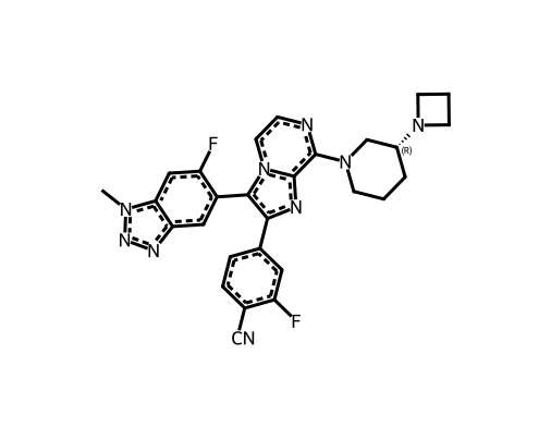 Cn1nnc2cc(-c3c(-c4ccc(C#N)c(F)c4)nc4c(N5CCC[C@@H](N6CCC6)C5)nccn34)c(F)cc21